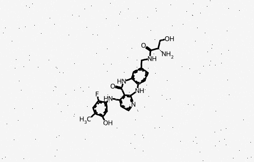 Cc1cc(F)c(Nc2ccnc3c2C(=O)Nc2cc(CNC(=O)[C@@H](N)CO)ccc2N3)cc1O